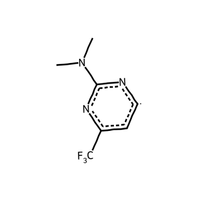 CN(C)c1n[c]cc(C(F)(F)F)n1